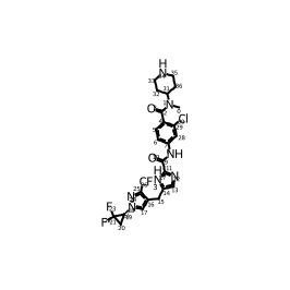 CN(C(=O)c1ccc(NC(=O)c2ncc(Cc3cn([C@H]4CC4(F)F)nc3C(F)(F)F)[nH]2)cc1Cl)C1CCNCC1